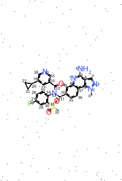 Cn1ncc2c(N)nc3cc(CN(C(=O)c4cncc(C5CC5)c4)c4ccc(F)cc4S(C)(=O)=O)ccc3c21